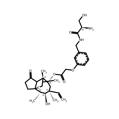 C=C[C@]1(C)C[C@@H](OC(=O)COc2cccc(CNC(=O)[C@H](N)CO)c2)[C@]2(C)C(C)CCC3(CCC(=O)C32)[C@@H](C)[C@@H]1O